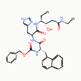 CC(C)CNC(=O)C[C@H](O)[C@H](CC(C)C)NC(=O)[C@H](Cc1c[nH]cn1)NC(=O)[C@H](Cc1cccc2ccccc12)NC(=O)OCc1ccccc1